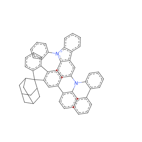 c1ccc(-c2ccccc2N(c2ccc3c(c2)c2ccccc2n3-c2ccccc2)c2ccccc2-c2ccc3c(c2)C2(c4ccccc4-3)C3CC4CC(C3)CC2C4)cc1